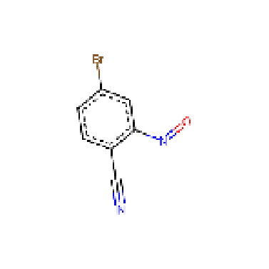 N#Cc1ccc(Br)cc1N=O